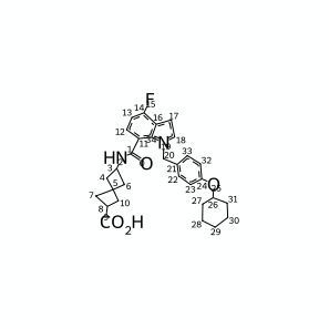 O=C(NC1CC2(C1)CC(C(=O)O)C2)c1ccc(F)c2ccn(Cc3ccc(OC4CCCCC4)cc3)c12